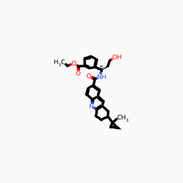 CCOC(=O)c1cccc([C@@H](CCO)NC(=O)c2ccc3nc4c(cc3c2)CC(C2(C)CC2)CC4)c1